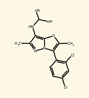 CCCC(CCC)Nc1c(C)nn2c(-c3ccc(Cl)cc3Cl)c(C)oc12